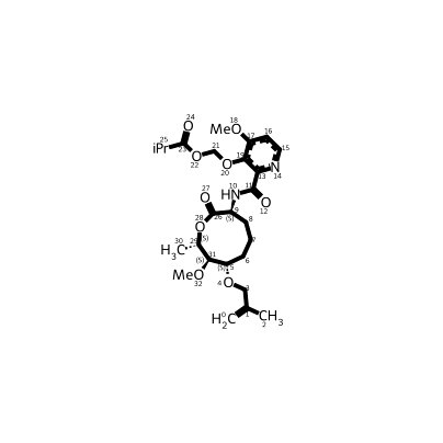 C=C(C)CO[C@H]1CCC[C@H](NC(=O)c2nccc(OC)c2OCOC(=O)C(C)C)C(=O)O[C@@H](C)[C@@H]1OC